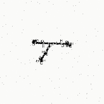 O=C(CCCC(=O)NCCCOCC(COCCOCCCNC(=O)CCC1SCC2NC(=O)NC21)OCCOCCCNC(=O)CCCCC1SCC2NC(=O)NC21)CN1C(=O)C=CC1=O